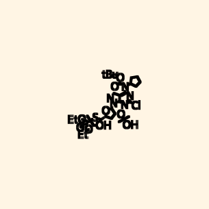 CCOP(=O)(OCC)C(C)(CO)SC[C@@H]1C[C@@H](OC(C)(C)O)[C@H](n2ncc3c(N(C(=O)OC(C)(C)C)C4CCCC4)nc(Cl)nc32)O1